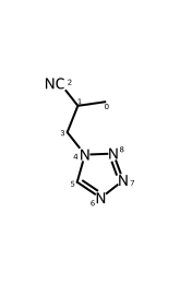 CC(C#N)Cn1cnnn1